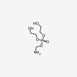 NCOP(=O)(OCCO)OCCO